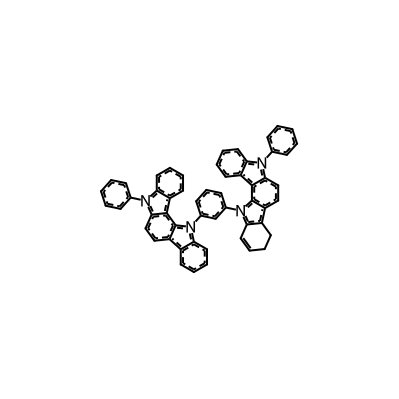 C1=Cc2c(c3ccc4c(c5ccccc5n4-c4ccccc4)c3n2-c2cccc(-n3c4ccccc4c4ccc5c(c6ccccc6n5-c5ccccc5)c43)c2)CC1